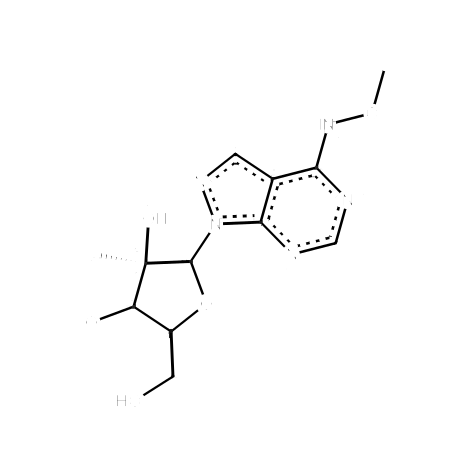 CONc1ncnc2c1cnn2C1OC(CO)C(O)[C@@]1(C)O